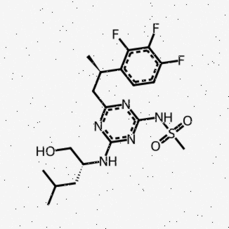 CC(C)C[C@H](CO)Nc1nc(C[C@@H](C)c2ccc(F)c(F)c2F)nc(NS(C)(=O)=O)n1